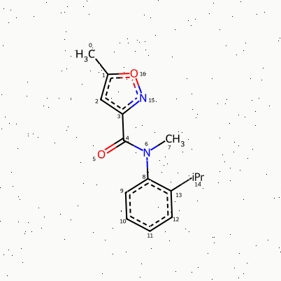 Cc1cc(C(=O)N(C)c2ccccc2C(C)C)no1